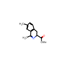 COC(=O)C1Cc2ccc(C)cc2C(C)=N1